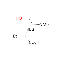 CCCCC(CC)C(=O)O.CNCCO